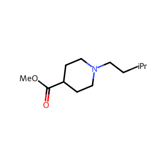 COC(=O)C1CCN(CCC(C)C)CC1